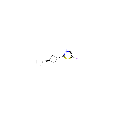 C=C1CC(c2ncc(I)s2)C1